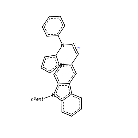 CCCCCn1c2ccccc2c2cc(/C=N\N(c3ccccc3)c3ccc[nH]3)ccc21